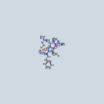 CCN(CC)CCCS(=O)(=O)N[C@H](CCc1ccccc1)c1nc(CN(C)C(=O)NC(C)C)nn1C